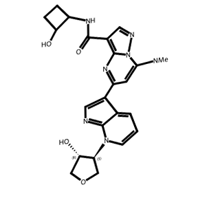 CNc1cc(-c2cnc3n([C@H]4COC[C@@H]4O)cccc2-3)nc2c(C(=O)NC3CCC3O)cnn12